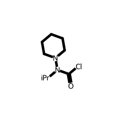 CC(C)N(C(=O)Cl)N1CCCCC1